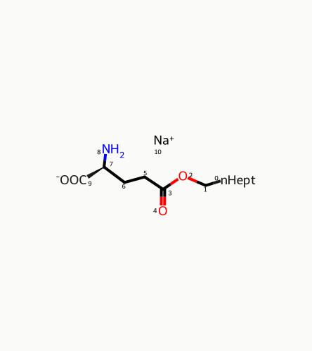 CCCCCCCCOC(=O)CC[C@H](N)C(=O)[O-].[Na+]